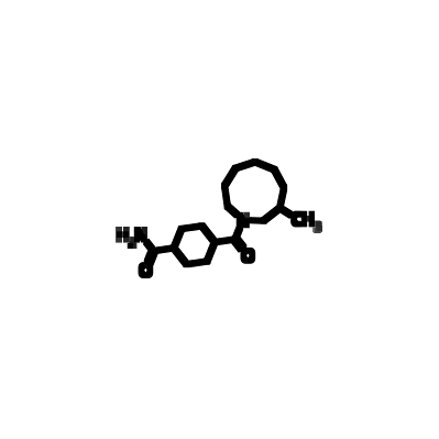 CC1CCCCCCN(C(=O)C2CCC(C(N)=O)CC2)C1